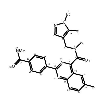 CCn1ncc(CN(C)C(=O)c2nc(-c3ccc(C(=O)NC)cc3)nc3ccc(C)cc23)c1C